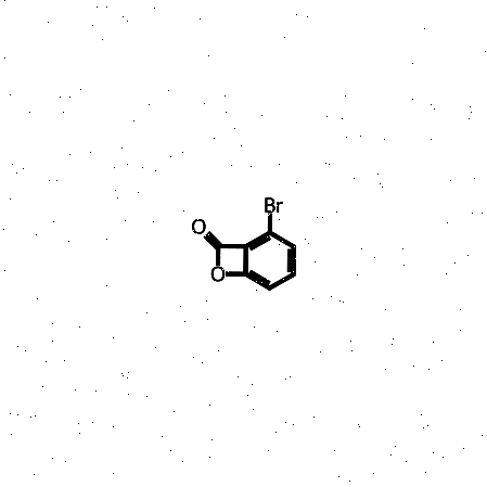 O=C1Oc2cccc(Br)c21